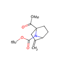 C=C1CC2(C(=O)OC)CCC1N2C(=O)OC(C)(C)C